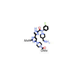 CNc1nc(-c2c[nH]c(C(=O)N(c3cccc(F)c3)N3CCC(CN)CC3)n2)cc(N2CCN(C(=O)OC)CC2)n1